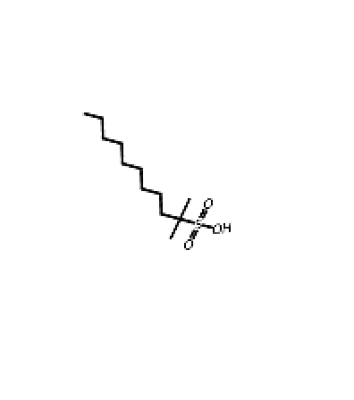 CCCCCCCCCC(C)(C)S(=O)(=O)O